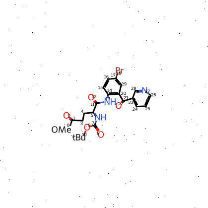 COC(=O)CCC(NC(=O)OC(C)(C)C)C(=O)Nc1ccc(Br)cc1C(=O)c1cccnc1